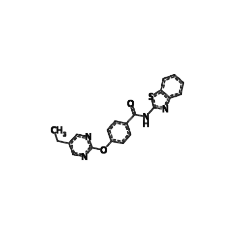 CCc1cnc(Oc2ccc(C(=O)Nc3nc4ccccc4s3)cc2)nc1